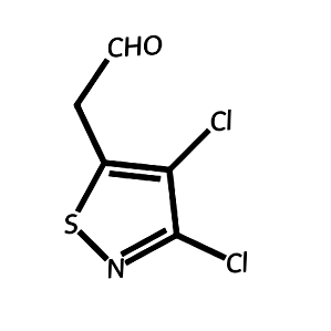 O=CCc1snc(Cl)c1Cl